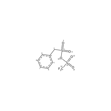 O=S(=O)(Cc1ccccc1)OS(=O)(=O)C(F)(F)F